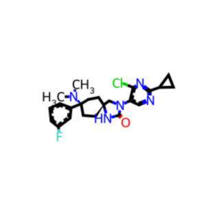 CN(C)[C@]1(c2cccc(F)c2)CC[C@@]2(CC1)CN(c1cnc(C3CC3)nc1Cl)C(=O)N2